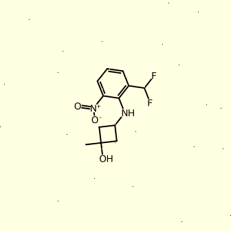 CC1(O)CC(Nc2c(C(F)F)cccc2[N+](=O)[O-])C1